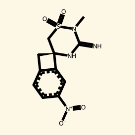 CN1C(=N)N[C@@]2(Cc3ccc([N+](=O)[O-])cc32)CS1(=O)=O